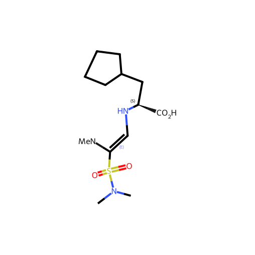 CN/C(=C\N[C@@H](CC1CCCC1)C(=O)O)S(=O)(=O)N(C)C